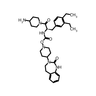 CCc1ccc(C[C@@H](NC(=O)ON2CCC(N3CCc4ccccc4NC3=O)CC2)C(=O)N2CCC(N)CC2)cc1CC